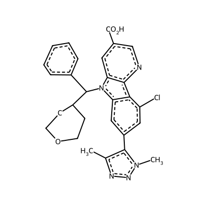 Cc1nnn(C)c1-c1cc(Cl)c2c3ncc(C(=O)O)cc3n(C(c3ccccc3)C3CCOCC3)c2c1